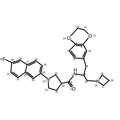 O=C(NC(Cc1ccc2c(c1)OCCO2)CN1CCC1)C1CCN(c2ccc3cc(F)ccc3c2)C1